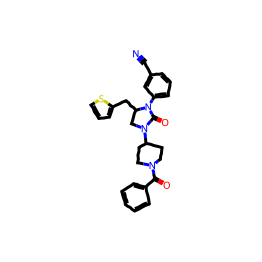 N#Cc1cccc(N2C(=O)N(C3CCN(C(=O)c4ccccc4)CC3)CC2Cc2cccs2)c1